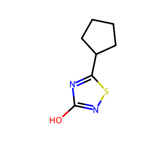 Oc1nsc(C2CCCC2)n1